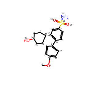 COc1ccc(-c2ccc(S(N)(=O)=O)cc2[C@H]2CC[C@H](O)CC2)cc1